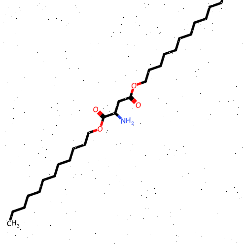 CCCCCCCCCCCCOC(=O)CC(N)C(=O)OCCCCCCCCCCCC